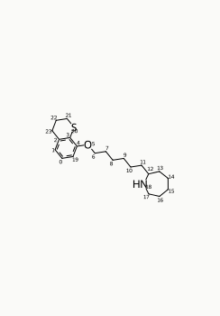 c1cc2c(c(OCCCCCCC3CCCCCN3)c1)SCCC2